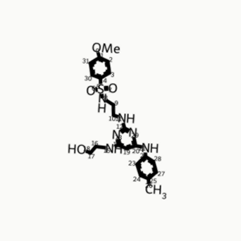 COc1ccc(S(=O)(=O)NCCNc2nc(NCCO)cc(Nc3ccc(C)cc3)n2)cc1